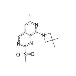 Cc1cc2cnc(S(C)(=O)=O)nc2c(N2CC(C)(C)C2)n1